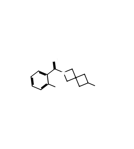 C=C(c1ccccc1C)N1CC2(CC(C)C2)C1